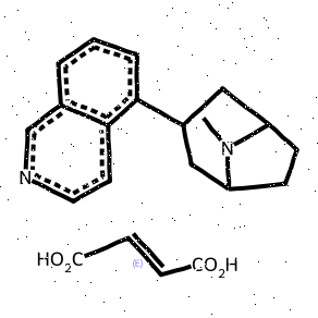 CN1C2CCC1CC(c1cccc3cnccc13)C2.O=C(O)/C=C/C(=O)O